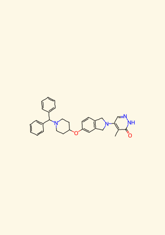 Cc1c(N2Cc3ccc(OC4CCN(C(c5ccccc5)c5ccccc5)CC4)cc3C2)cn[nH]c1=O